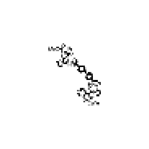 COC(=O)N[C@H](C(=O)N1CC2(C[C@H]1c1ncc(-c3ccc(-c4ccc(C5CN=C([C@@H]6CCCN6C(=O)[C@@H](NC(=O)OC)C6CCOCC6)N5)cc4)cc3)[nH]1)OCCO2)C(C)C